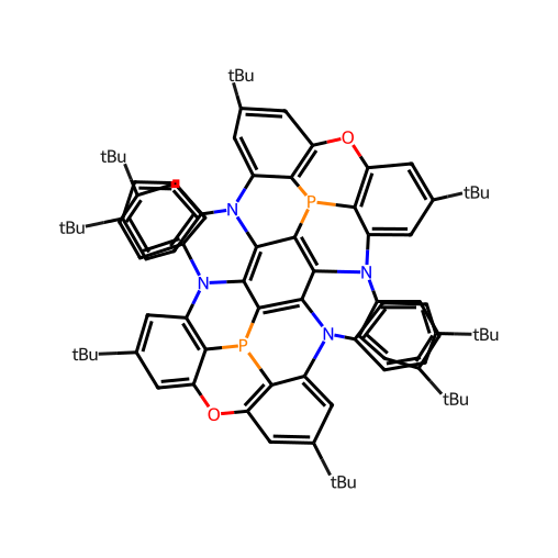 CC(C)(C)c1ccc(-n2c3cc(C(C)(C)C)cc4oc5cc(C(C)(C)C)cc6c5p(c43)c3c2c2c4c(c3n6-c3ccc(C(C)(C)C)cc3)n(-c3ccc(C(C)(C)C)cc3)c3cc(C(C)(C)C)cc5oc6cc(C(C)(C)C)cc(c6p4c53)n2-c2ccc(C(C)(C)C)cc2)cc1